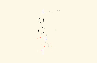 COCCCN(C)Cc1ccc(-c2ccc3c(=O)n(CC[C@](C)(C(=O)NO)S(C)(=O)=O)ccc3c2)c(F)c1.Cl